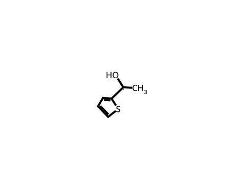 C[C](O)c1cccs1